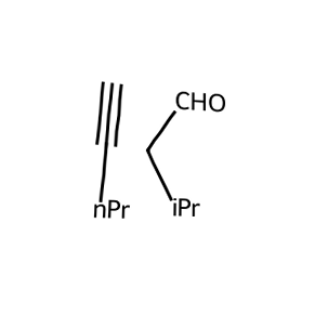 C#CCCC.CC(C)CC=O